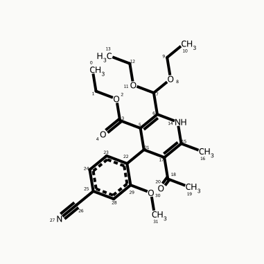 CCOC(=O)C1=C(C(OCC)OCC)NC(C)=C(C(C)=O)C1c1ccc(C#N)cc1OC